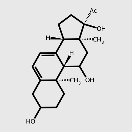 CC(=O)[C@@]1(O)CC[C@H]2C3=CC=C4CC(O)CC[C@]4(C)[C@H]3C(O)C[C@@]21C